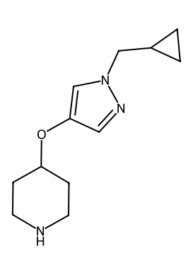 c1nn(CC2CC2)cc1OC1CCNCC1